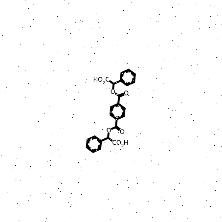 O=C(OC(C(=O)O)c1ccccc1)c1ccc(C(=O)OC(C(=O)O)c2ccccc2)cc1